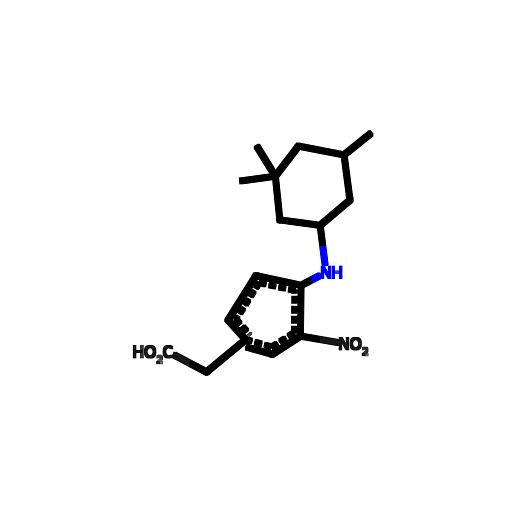 CC1CC(Nc2ccc(CC(=O)O)cc2[N+](=O)[O-])CC(C)(C)C1